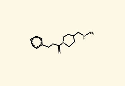 NNCC1CCN(C(=O)OCc2ccccc2)CC1